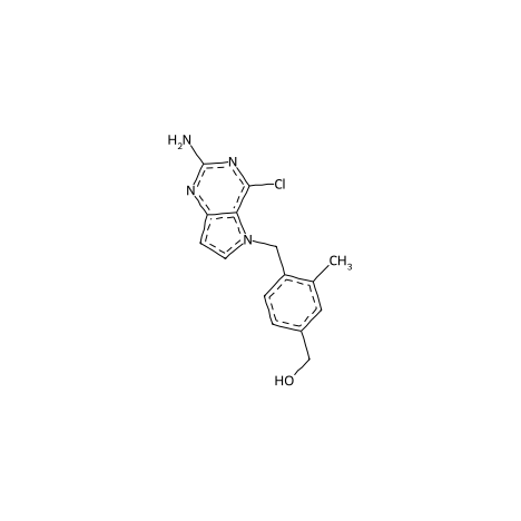 Cc1cc(CO)ccc1Cn1ccc2nc(N)nc(Cl)c21